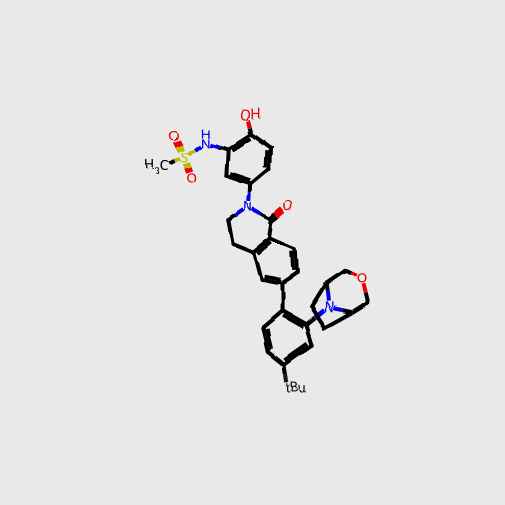 CC(C)(C)c1ccc(-c2ccc3c(c2)CCN(c2ccc(O)c(NS(C)(=O)=O)c2)C3=O)c(N2C3CCC2COC3)c1